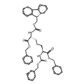 O=C(N[C@@H](CSC[C@@H](NC(=O)OCC1c2ccccc2-c2ccccc21)C(=O)OCc1ccccc1)C(=O)OCc1ccccc1)OCc1ccccc1